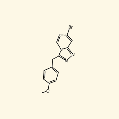 COc1ccc(Cc2nnc3cc(Br)ccn23)cc1